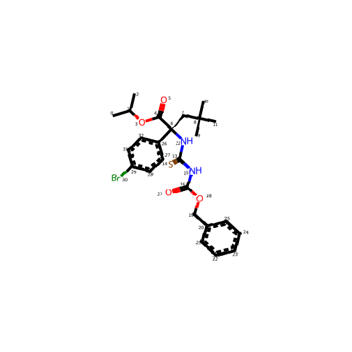 CC(C)OC(=O)[C@](CC(C)(C)C)(NC(=S)NC(=O)OCc1ccccc1)c1ccc(Br)cc1